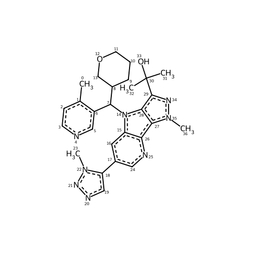 Cc1ccncc1C(C1CCCOC1)n1c2cc(-c3cnnn3C)cnc2c2c1c(C(C)(C)O)nn2C